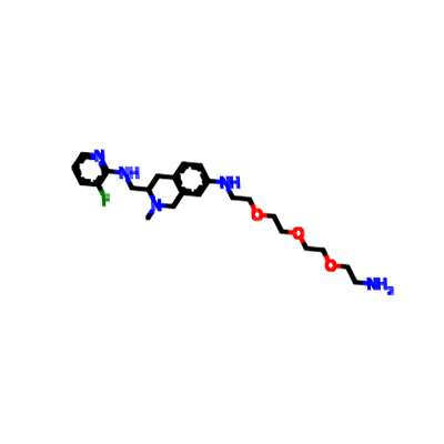 CN1Cc2cc(NCCOCCOCCOCCN)ccc2CC1CNc1ncccc1F